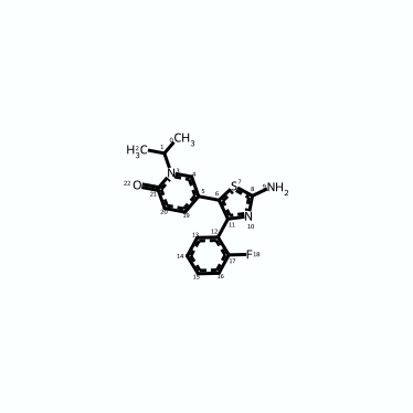 CC(C)n1cc(-c2sc(N)nc2-c2ccccc2F)ccc1=O